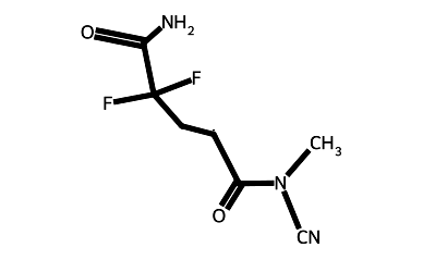 CN(C#N)C(=O)[CH]CC(F)(F)C(N)=O